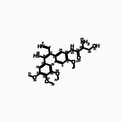 COc1ccc(/C(C=N)=C(/S)c2cc(OC)c(OC)c(OC)c2)cc1NC(=O)C(N)CO